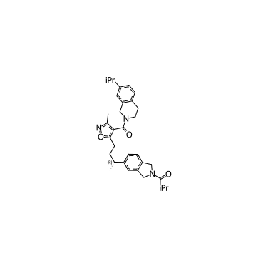 Cc1noc(CC[C@@H](C)c2ccc3c(c2)CN(C(=O)C(C)C)C3)c1C(=O)N1CCc2ccc(C(C)C)cc2C1